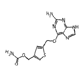 NC(=O)OCc1csc(COc2nc(N)nc3[nH]cnc23)c1